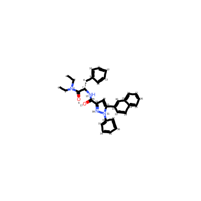 CCN(CC)C(=O)[C@H](Cc1ccccc1)NC(=O)c1cc(-c2ccc3ccccc3c2)n(-c2ccccc2)n1